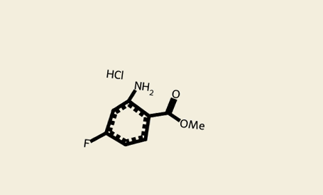 COC(=O)c1ccc(F)cc1N.Cl